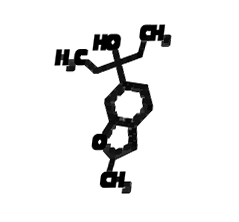 CCC(O)(CC)c1ccc2cc(C)oc2c1